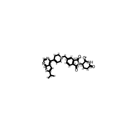 CC(C)c1cc2c(C3=CCN(Cc4ccc5c(c4)C(=O)N(C4CCC(=O)NC4=O)C5=O)CC3)ncnc2s1